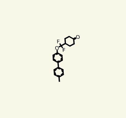 Cc1ccc(-c2ccc(OC(F)(F)C3CCC(=O)CC3)cc2)cc1